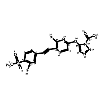 CS(=O)(=O)c1ccc(C#Cc2ncc(Oc3cnnn3C(=O)O)nc2F)cc1F